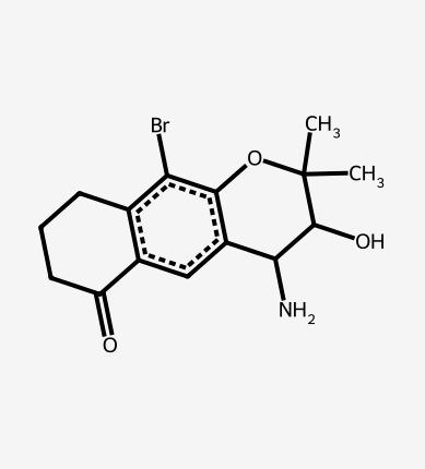 CC1(C)Oc2c(cc3c(c2Br)CCCC3=O)C(N)C1O